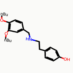 CCCCOc1ccc(CNCCc2ccc(O)cc2)cc1OCCCC